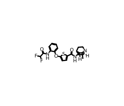 C[C@H]1[C@H](NC(=O)c2ccc(Oc3ccccc3NC(=O)C(F)F)s2)C2CCN1CC2